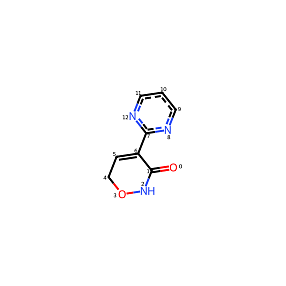 O=C1NOCC=C1c1ncccn1